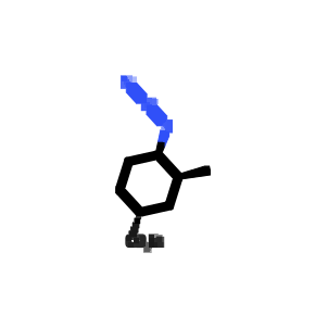 CCOC(=O)[C@@H]1CC[C@@H](N=[N+]=[N-])[C@@H](C)C1